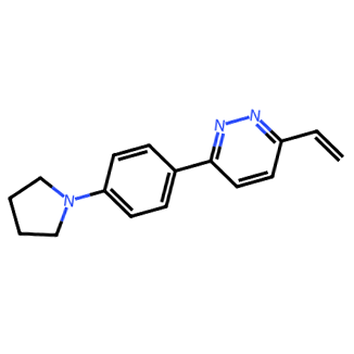 C=Cc1ccc(-c2ccc(N3CCCC3)cc2)nn1